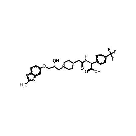 Cc1nc2cc(OC[C@H](O)CN3CCN(CC(=O)N[C@H](C(=O)O)c4ccc(C(F)(F)F)cc4)CC3)ccc2s1